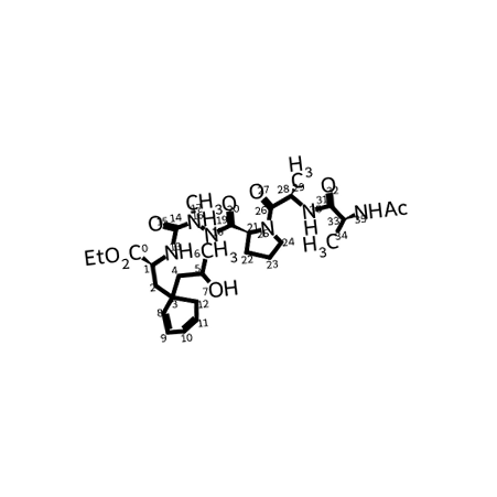 CCOC(=O)[C@H](CC1(CC(C)O)C=CC=CC1)NC(=O)N(C)NC(=O)[C@@H]1CCCN1C(=O)[C@H](C)NC(=O)[C@H](C)NC(C)=O